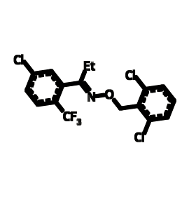 CC/C(=N\OCc1c(Cl)cccc1Cl)c1cc(Cl)ccc1C(F)(F)F